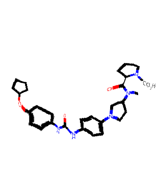 CN(C(=O)[C@H]1CCCN1C(=O)O)C1CCN(c2ccc(NC(=O)Nc3ccc(OC4CCCC4)cc3)cc2)C1